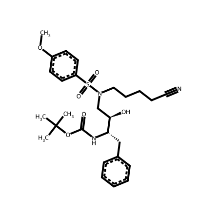 COc1ccc(S(=O)(=O)N(CCCCC#N)C[C@@H](O)[C@H](Cc2ccccc2)NC(=O)OC(C)(C)C)cc1